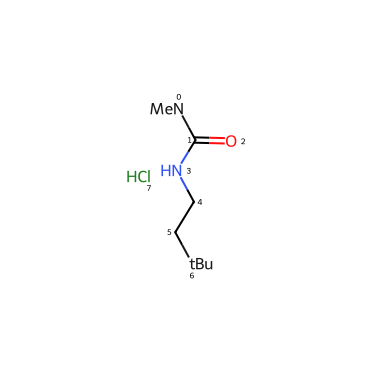 CNC(=O)NCCC(C)(C)C.Cl